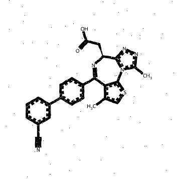 Cc1csc2c1C(c1ccc(-c3cccc(C#N)c3)cc1)=N[C@@H](CC(=O)O)c1nnc(C)n1-2